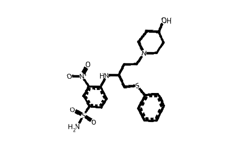 NS(=O)(=O)c1ccc(NC(CCN2CCC(O)CC2)CSc2ccccc2)c([N+](=O)[O-])c1